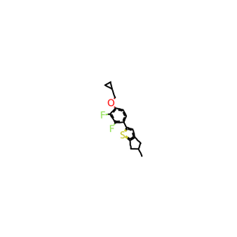 CC1Cc2cc(-c3ccc(OCC4CC4)c(F)c3F)sc2C1